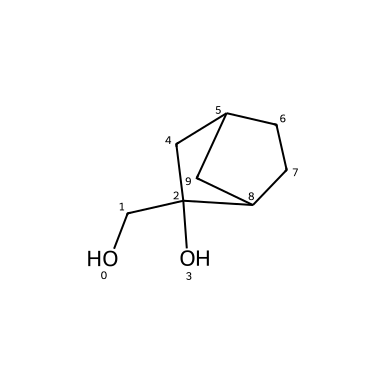 OCC1(O)CC2CCC1C2